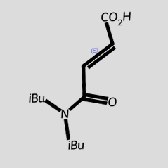 CCC(C)N(C(=O)/C=C/C(=O)O)C(C)CC